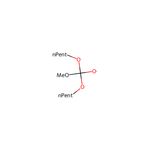 CCCCCOC([O])(OC)OCCCCC